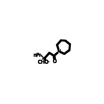 CCC[C@@H]([C]=O)CC(=O)N1CCCCCC1